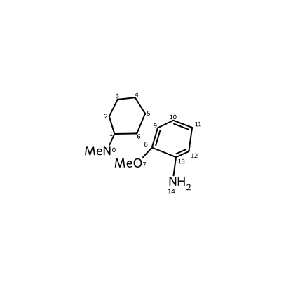 CNC1CCCCC1.COc1ccccc1N